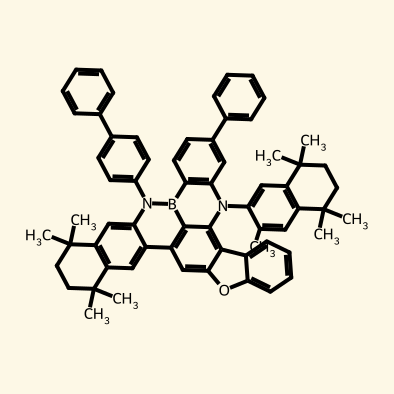 Cc1cc2c(cc1N1c3cc(-c4ccccc4)ccc3B3c4c(cc5oc6ccccc6c5c41)-c1cc4c(cc1N3c1ccc(-c3ccccc3)cc1)C(C)(C)CCC4(C)C)C(C)(C)CCC2(C)C